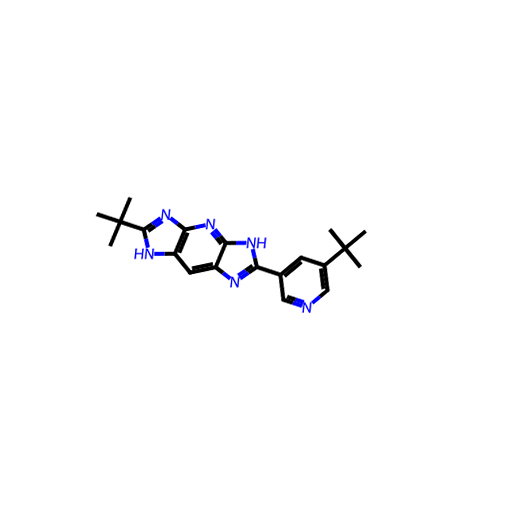 CC(C)(C)c1cncc(-c2nc3cc4[nH]c(C(C)(C)C)nc4nc3[nH]2)c1